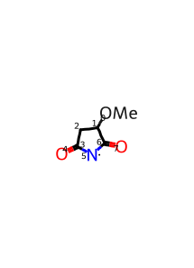 COC1CC(=O)[N]C1=O